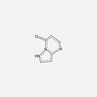 O=c1[c]cnc2cc[nH]n12